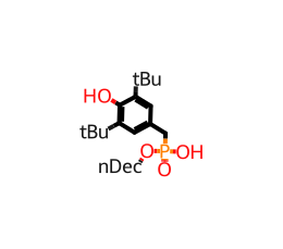 CCCCCCCCCCOP(=O)(O)Cc1cc(C(C)(C)C)c(O)c(C(C)(C)C)c1